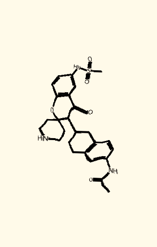 CC(=O)Nc1ccc2c(c1)CCC(C1C(=O)c3cc(NS(C)(=O)=O)ccc3OC13CCNCC3)C2